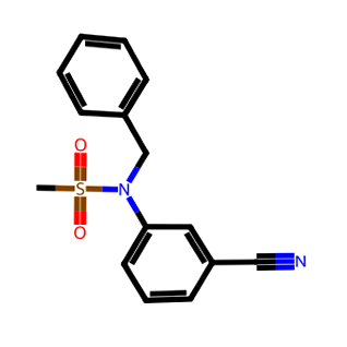 CS(=O)(=O)N(Cc1ccccc1)c1cccc(C#N)c1